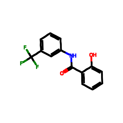 O=C(Nc1cccc(C(F)(F)F)c1)c1ccccc1O